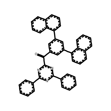 O=C(c1cc(-c2cccc3ccccc23)cc(-c2cccc3ccccc23)c1)c1nc(-c2ccccc2)nc(-c2ccccc2)n1